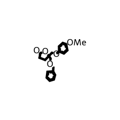 COc1ccc(OCC2(COCc3ccccc3)CCC(=O)O2)cc1